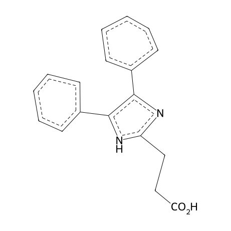 O=C(O)CCc1nc(-c2ccccc2)c(-c2ccccc2)[nH]1